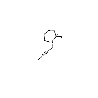 CC#CCN1CCCC[C@H]1C